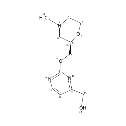 CN1CCO[C@@H](COc2nccc(CO)n2)C1